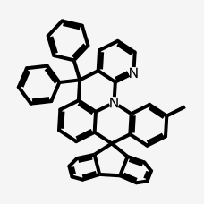 Cc1ccc2c(c1)N1c3ncccc3C(c3ccccc3)(c3ccccc3)c3cccc(c31)C21c2ccccc2-c2ccccc21